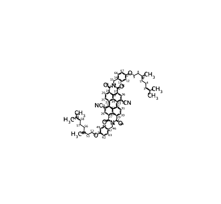 CC(C)=CCC[C@H](C)CCOc1ccc(CN2C(=O)c3ccc4c5c(C#N)cc6c7c(ccc(c8c(C#N)cc(c3c48)C2=O)c75)C(=O)N(Cc2ccc(OCC[C@@H](C)CCC=C(C)C)cc2)C6=O)cc1